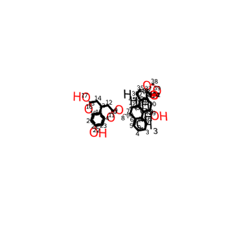 C[C@]12CCCC=C1[C@H](COC(=O)CC(CC(=O)O)c1ccc(O)cc1)C[C@@H]1[C@@H]2[C@@H](O)C[C@@]2(C)[C@H]1CC[C@@]21OCOC12COCO2